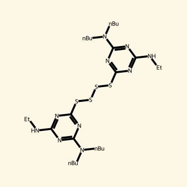 CCCCN(CCCC)c1nc(NCC)nc(SSSSc2nc(NCC)nc(N(CCCC)CCCC)n2)n1